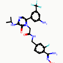 CC(C)Nc1ncc(-c2cc(N)cc(C(F)(F)F)c2)n(CC(=O)NCc2ccc(/C(N)=N/O)c(F)c2)c1=O